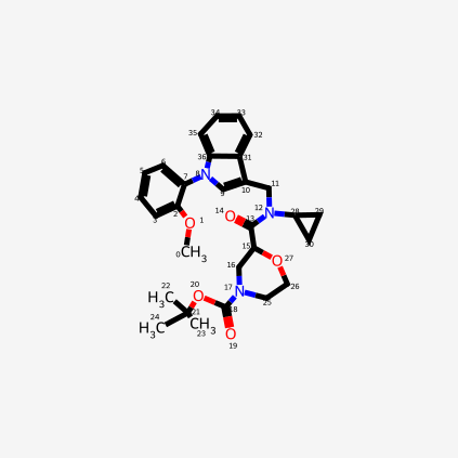 COc1ccccc1-n1cc(CN(C(=O)C2CN(C(=O)OC(C)(C)C)CCO2)C2CC2)c2ccccc21